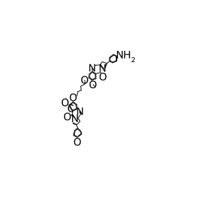 COc1ccc(C2=CN3C(=O)c4cc(OC)c(OCCCCCOc5cc6c(cc5OC)C(=O)N5C=C(c7ccc(N)cc7)CC5C=N6)cc4N=CC3C2)cc1